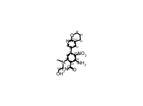 CN(CCO)c1cc(-c2cnc3c(c2)CCCO3)c([N+](=O)[O-])c(N)c1C(N)=O